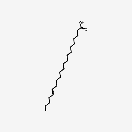 CCCCC=CCCCCCCCCCCCCCCC(=O)O